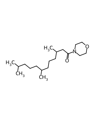 CC(C)CCCC(C)CCCC(C)CC(=O)N1CCOCC1